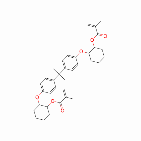 C=C(C)C(=O)OC1CCCCC1Oc1ccc(C(C)(C)c2ccc(OC3CCCCC3OC(=O)C(=C)C)cc2)cc1